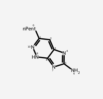 CCCCCc1cc2nc(N)nc-2[nH]n1